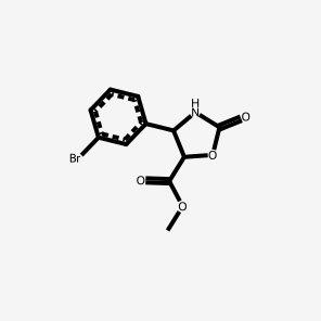 COC(=O)C1OC(=O)NC1c1cccc(Br)c1